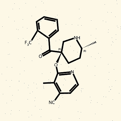 Cc1c(C#N)ccnc1O[C@]1(C(=O)c2ccccc2C(F)(F)F)CC[C@@H](C)NC1